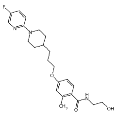 Cc1cc(OCCCC2CCN(c3ccc(F)cn3)CC2)ccc1C(=O)NCCO